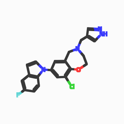 Fc1ccc2c(ccn2-c2cc(Cl)c3c(c2)CN(Cc2cn[nH]c2)CCO3)c1